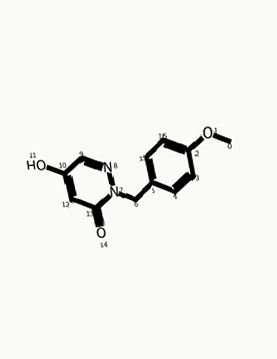 COc1ccc(Cn2ncc(O)cc2=O)cc1